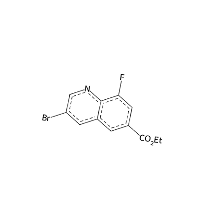 CCOC(=O)c1cc(F)c2ncc(Br)cc2c1